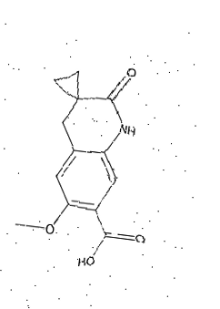 COc1cc2c(cc1C(=O)O)NC(=O)C1(CC1)C2